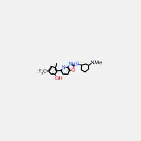 CNC1CCCC(Nc2nc3nc(-c4c(C)cc(C(F)(F)F)cc4O)ccc3o2)C1